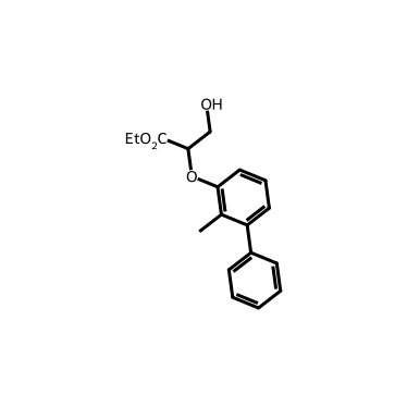 CCOC(=O)C(CO)Oc1cccc(-c2ccccc2)c1C